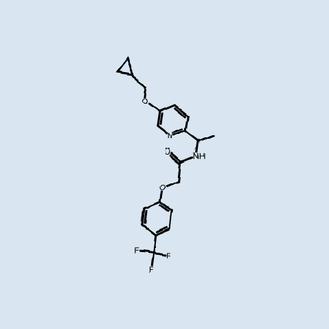 CC(NC(=O)COc1ccc(C(F)(F)F)cc1)c1ccc(OCC2CC2)cn1